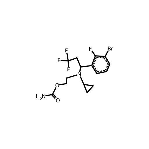 NC(=O)OCCN(C1CC1)C(CC(F)(F)F)c1cccc(Br)c1F